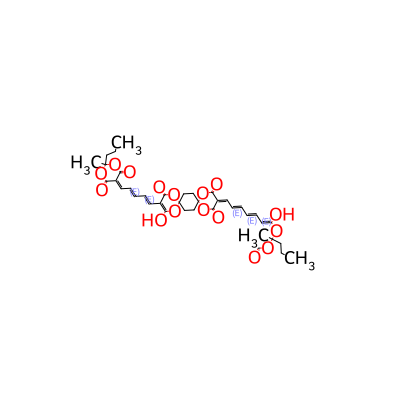 CCCC1(C)OC(=O)C(=C/C=C/C=C/C2=C(O)OC3(CCC4(CC3)OC(=O)C(=C/C=C/C=C/C=C(\O)OC(C)(CCC)OC=O)C(=O)O4)OC2=O)C(=O)O1